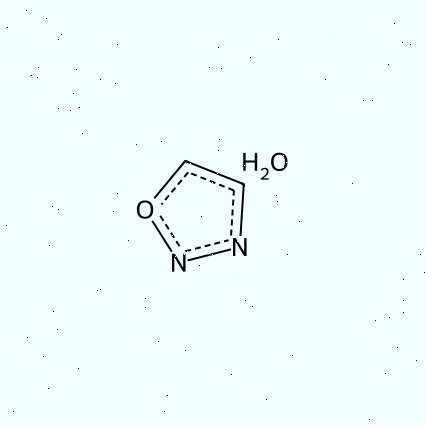 O.c1conn1